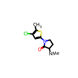 CNC1CCN(c2cc(Cl)c(C)s2)C1=O